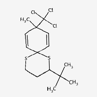 CC(C)(C)C1CCSC2(C=CC(C)(C(Cl)(Cl)Cl)C=C2)S1